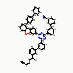 C#C/C=C\C=C(/C)c1cccc(-c2cccc(-c3nc(-c4cccc(-c5cccc(C#N)c5)c4)nc(-c4ccc5c(c4)oc4cccc(-c6ccc(-c7ccccc7)cc6)c45)n3)c2)c1